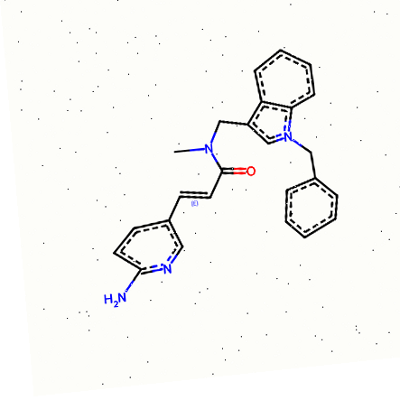 CN(Cc1cn(Cc2ccccc2)c2ccccc12)C(=O)/C=C/c1ccc(N)nc1